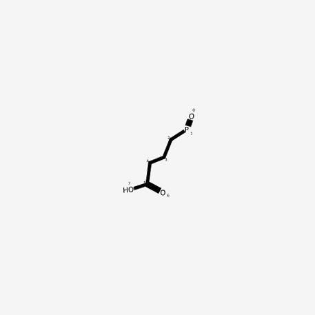 O=PCCCC(=O)O